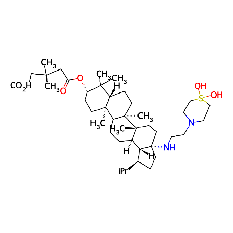 CC(C)[C@@H]1CC[C@]2(NCCN3CCS(O)(O)CC3)CC[C@]3(C)[C@H](CCC4[C@@]5(C)CC[C@H](OC(=O)CC(C)(C)CC(=O)O)C(C)(C)[C@@H]5CC[C@]43C)[C@@H]12